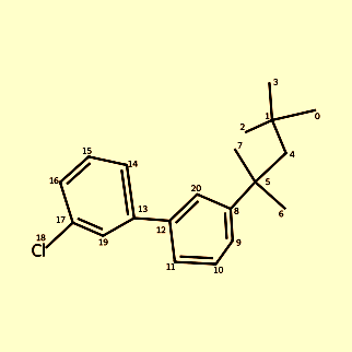 CC(C)(C)CC(C)(C)c1cccc(-c2cccc(Cl)c2)c1